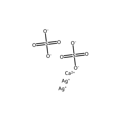 O=S(=O)([O-])[O-].O=S(=O)([O-])[O-].[Ag+].[Ag+].[Ca+2]